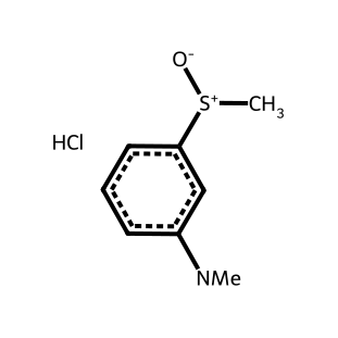 CNc1cccc([S+](C)[O-])c1.Cl